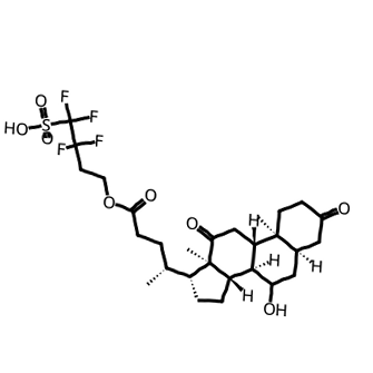 C[C@H](CCC(=O)OCCC(F)(F)C(F)(F)S(=O)(=O)O)[C@H]1CC[C@H]2[C@@H]3C(O)C[C@@H]4CC(=O)CC[C@]4(C)[C@H]3CC(=O)[C@]12C